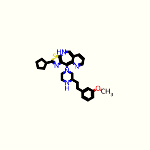 COc1cccc(CCC2CN(C3=c4ncccc4=CNc4sc(C5CCCC5)nc43)CCN2)c1